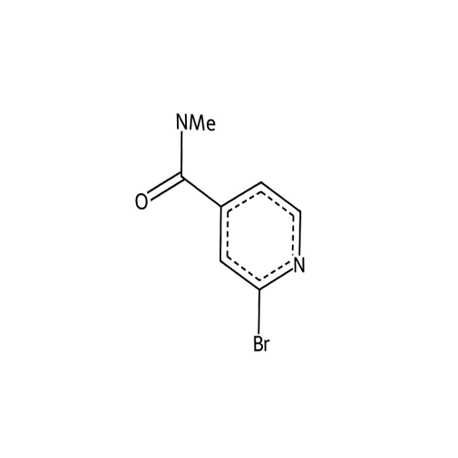 CNC(=O)c1ccnc(Br)c1